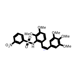 COc1cc(/C=C\c2ccc(OC)c(OC)c2NS(=O)(=O)c2cccc([N+](=O)[O-])c2)cc(OC)c1OC